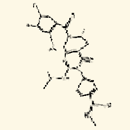 CNC(=O)c1ccc(-n2c(NC(C)C)nc3c(c2=O)C[C@@H](C)N(C(=O)c2cc(Cl)c(Br)cc2OC)C3)cc1